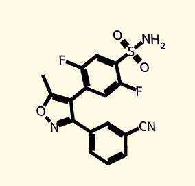 Cc1onc(-c2cccc(C#N)c2)c1-c1cc(F)c(S(N)(=O)=O)cc1F